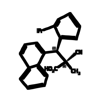 CC(C)c1ccccc1[C@H](c1cccc2ccccc12)[C@](C)(C#N)C(=O)O